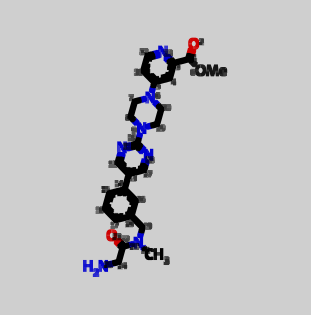 COC(=O)c1cc(N2CCN(c3ncc(-c4cccc(CN(C)C(=O)CN)c4)cn3)CC2)ccn1